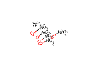 O=[N+]([O-])[O-].O=[N+]([O-])[O-].O=[N+]([O-])[O-].O=[N+]([O-])[O-].O=[N+]([O-])[O-].[Ni+2].[Y+3]